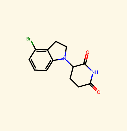 O=C1CCC(N2CCc3c(Br)cccc32)C(=O)N1